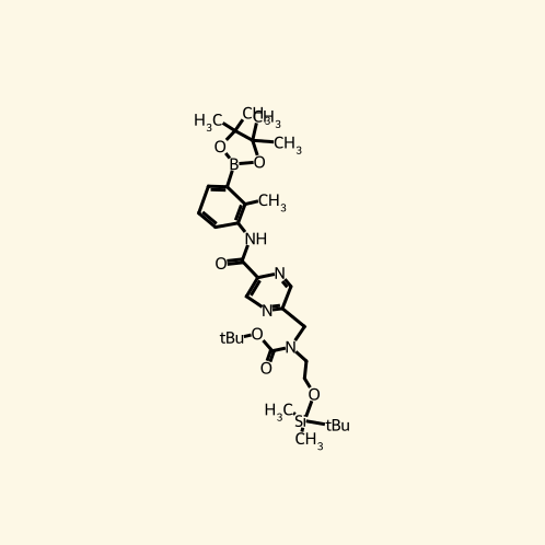 Cc1c(NC(=O)c2cnc(CN(CCO[Si](C)(C)C(C)(C)C)C(=O)OC(C)(C)C)cn2)cccc1B1OC(C)(C)C(C)(C)O1